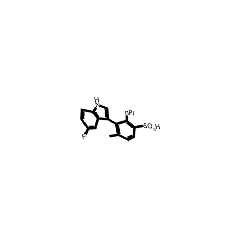 CCCc1c(S(=O)(=O)O)ccc(C)c1-c1c[nH]c2ccc(F)cc12